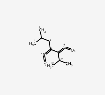 CC(C)CC(=S=O)C(=S=O)C(C)C